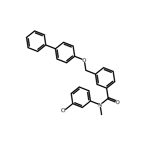 CN(C(=O)c1cccc(COc2ccc(-c3[c]cccc3)cc2)c1)c1cccc(Cl)c1